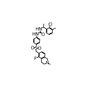 Cc1cccc(C(C)NC(=O)Nc2ccc(S(=O)(=O)Cc3ccc4c(c3F)CCN(C)C4)cc2)c1Cl